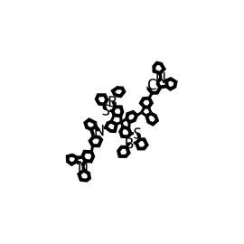 c1ccc(B2c3ccccc3Sc3c2ccc2c3-c3cc(C4c5ccccc5-c5cc(-c6ccc7c(c6)c6ccccc6n7-c6ccccc6)ccc54)ccc3C23c2ccc(-n4c5ccccc5c5cc(-c6ccc7c(c6)c6ccccc6n7-c6ccccc6)ccc54)cc2-c2c3ccc3c2Sc2ccccc2B3c2ccccc2)cc1